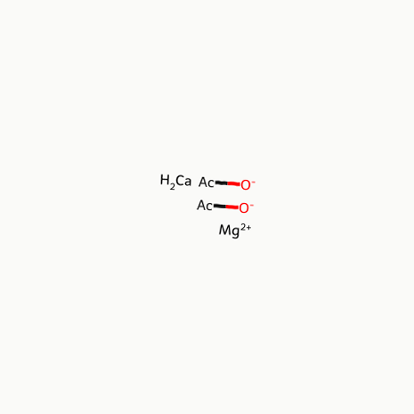 CC(=O)[O-].CC(=O)[O-].[CaH2].[Mg+2]